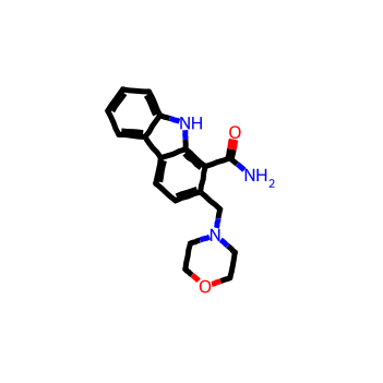 NC(=O)c1c(CN2CCOCC2)ccc2c1[nH]c1ccccc12